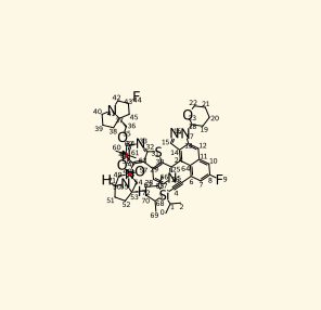 CC(C)[Si](C#Cc1cc(F)cc2cc3c(cnn3C3CCCCO3)c(-c3nccc4c3sc3nc(OC[C@@]56CCCN5C[C@H](F)C6)nc(N5C[C@H]6CC[C@@H](C5)N6C(=O)OC(C)(C)C)c34)c12)(C(C)C)C(C)C